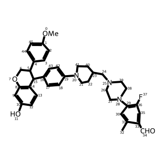 COc1ccc(C2COc3cc(O)ccc3C2c2ccc(N3CCC(CN4CCN(c5cc(C)c(C=O)cc5F)CC4)CC3)cc2)cc1